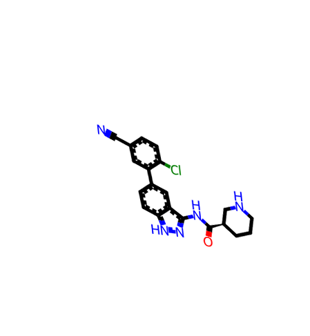 N#Cc1ccc(Cl)c(-c2ccc3[nH]nc(NC(=O)[C@@H]4CCCNC4)c3c2)c1